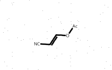 CC(=O)OC=CC#N